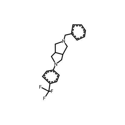 FC(F)(F)c1ccc(N2CC3CN(Cc4ccccc4)CC3C2)cc1